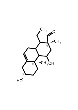 CCC1C2CC=C3C[C@@H](O)CC[C@]3(C)C2C(O)C[C@]1(C)C=O